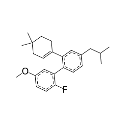 COc1ccc(F)c(-c2ccc(CC(C)C)cc2C2=CCC(C)(C)CC2)c1